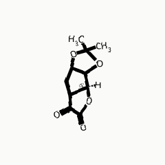 CC1(C)OC2CC3C(=O)C(=O)O[C@@H]3C2O1